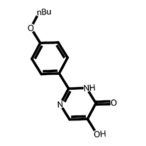 CCCCOc1ccc(-c2ncc(O)c(=O)[nH]2)cc1